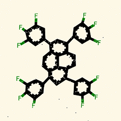 Fc1cc(-c2cc(-c3cc(F)c(F)c(F)c3)c3ccc4c(-c5cc(F)c(F)c(F)c5)cc(-c5cc(F)c(F)c(F)c5)c5ccc2c3c54)cc(F)c1F